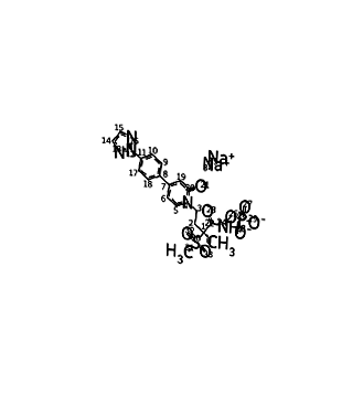 C[C@@](CCn1ccc(-c2ccc(-n3nccn3)cc2)cc1=O)(C(=O)NOP(=O)([O-])[O-])S(C)(=O)=O.[Na+].[Na+]